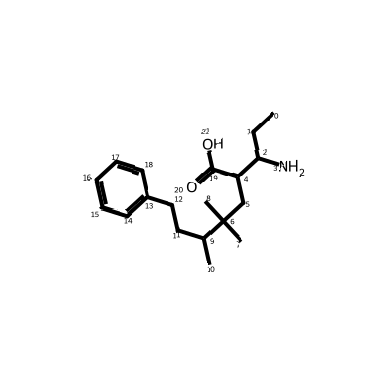 CCC(N)C(CC(C)(C)C(C)CCc1ccccc1)C(=O)O